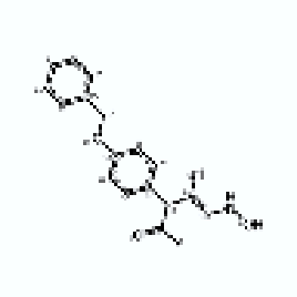 CC(=O)C(/C(Cl)=N/NO)c1ccc(OCc2ccccc2)cc1